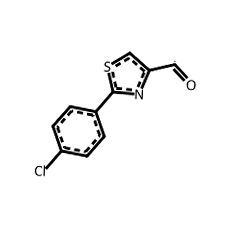 O=[C]c1csc(-c2ccc(Cl)cc2)n1